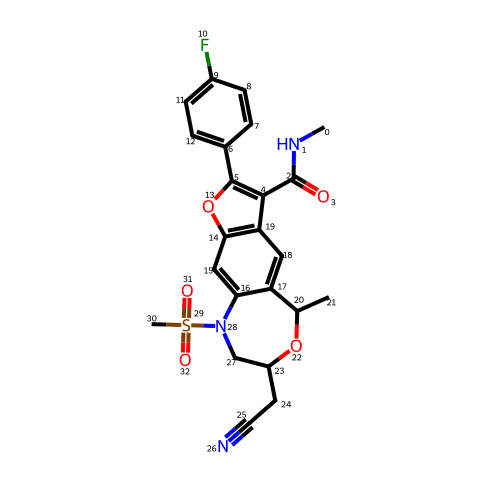 CNC(=O)c1c(-c2ccc(F)cc2)oc2cc3c(cc12)C(C)OC(CC#N)CN3S(C)(=O)=O